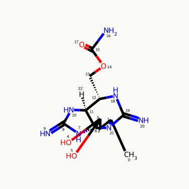 CC1CC(O)(O)[C@]23NC(=N)N[C@H]2[C@H](COC(N)=O)NC(=N)N13